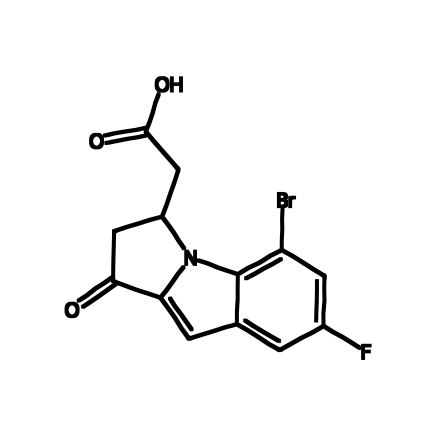 O=C(O)CC1CC(=O)c2cc3cc(F)cc(Br)c3n21